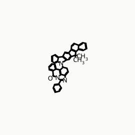 CC1(C)c2cc3c(cc2-c2ccc4ccccc4c21)c1ccccc1n3C1CC=c2nc(-c3ccccc3)n3c(=O)c4ccccc4c1c23